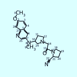 COc1ccc2cc(N(C)C3CCN(CC(=O)N4CCCC4C#N)C3)cnc2c1